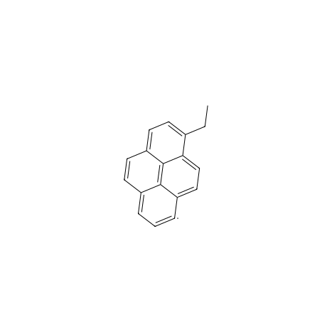 CCc1ccc2ccc3cc[c]c4ccc1c2c43